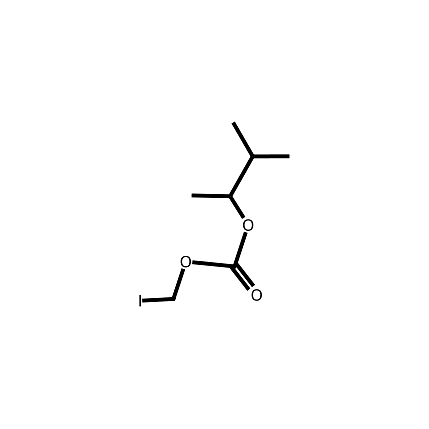 CC(C)C(C)OC(=O)OCI